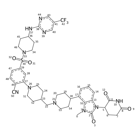 Cn1c(=O)n(C2CCC(=O)NC2=O)c2cccc(C3CCN(CC4CCN(c5cc(S(=O)(=O)N6CCC(Nc7ncc(C(F)(F)F)cn7)CC6)ccc5C#N)CC4)CC3)c21